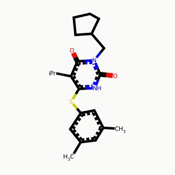 Cc1cc(C)cc(Sc2[nH]c(=O)n(CC3CCCC3)c(=O)c2C(C)C)c1